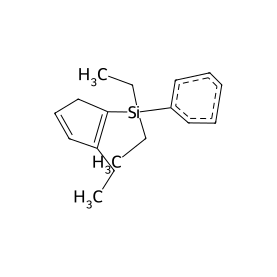 CCC1=C([Si](CC)(CC)c2ccccc2)CC=C1